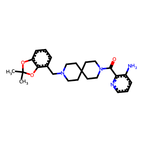 CC1(C)Oc2cccc(CN3CCC4(CC3)CCN(C(=O)c3ncccc3N)CC4)c2O1